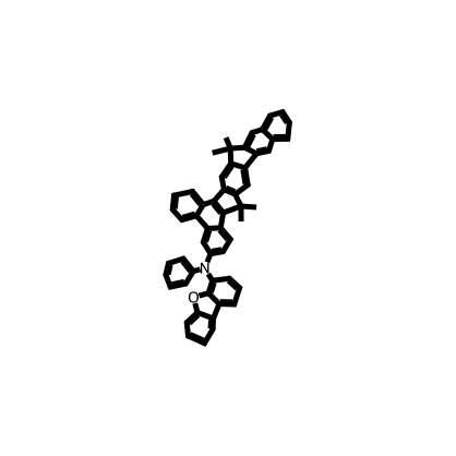 CC1(C)c2cc3c(cc2-c2cc4ccccc4cc21)C(C)(C)c1c-3c2ccccc2c2cc(N(c3ccccc3)c3cccc4c3oc3ccccc34)ccc12